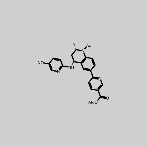 COC(=O)c1ccc(-c2ccc3c(c2)[C@H](Nc2ccc(C#N)cn2)C[C@H](C)N3C(C)=O)nc1